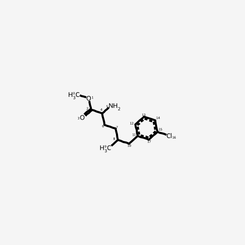 COC(=O)C(N)CCC(C)Cc1cccc(Cl)c1